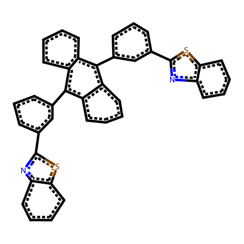 c1cc(-c2nc3ccccc3s2)cc(-c2c3ccccc3c(-c3cccc(-c4nc5ccccc5s4)c3)c3ccccc23)c1